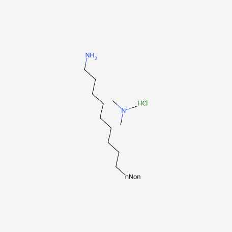 CCCCCCCCCCCCCCCCCCN.CN(C)C.Cl